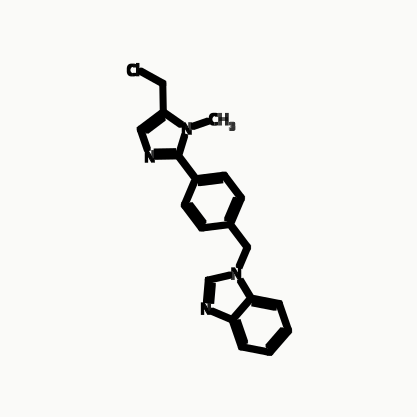 Cn1c(CCl)cnc1-c1ccc(Cn2cnc3ccccc32)cc1